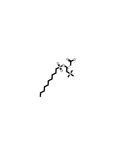 CCCCCCCCCCS(=O)(=O)O[C@H](CC(=O)[O-])C[N+](C)(C)C